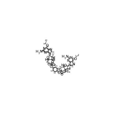 CCOc1nc(N)nc2c1ncn2[C@@H]1O[C@@H]2COP(=O)(Oc3ccc(OP4(=O)OC[C@H]5O[C@@H](n6cnc7c(OCC)nc(N)nc76)[C@](C)(F)[C@@H]5O4)cc3)O[C@H]2[C@@]1(C)F